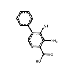 Nc1c(C(=O)O)ncc(-c2ccccc2)c1S